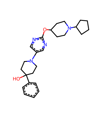 OC1(c2ccccc2)CCN(c2cnc(OC3CCN(C4CCCC4)CC3)nc2)CC1